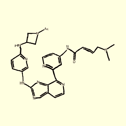 CC(=O)N1CC(Nc2ccc(Nc3ncc4ccnc(-c5cc(NC(=O)/C=C/CN(C)C)ccn5)c4n3)cn2)C1